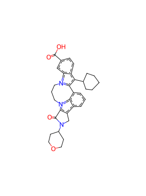 O=C(O)c1ccc2c(C3CCCCC3)c3n(c2c1)CCCn1c2c(c4cccc-3c41)CN(C1CCOCC1)C2=O